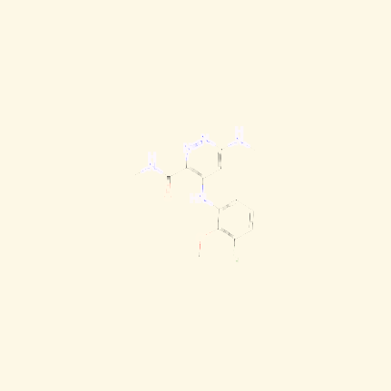 CNC(=O)c1nnc(NC)cc1Nc1cccc(Br)c1OC